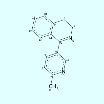 Cc1ccc(C2=NCCc3ccccc32)cn1